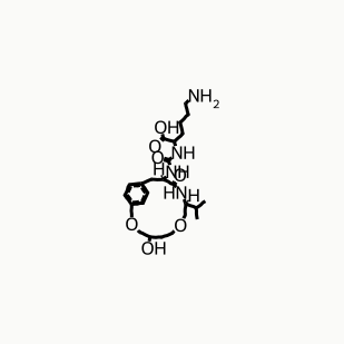 CC(C)[C@H]1COCCC(O)COc2ccc(cc2)C[C@@H](NC(=O)NC(CCCCN)C(=O)O)C(=O)N1